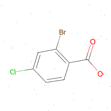 [O]C(=O)c1ccc(Cl)cc1Br